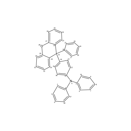 c1ccc(N(c2ccccc2)c2ccc(C3(c4ccccc4)c4ccccc4Oc4ccccc43)cc2)cc1